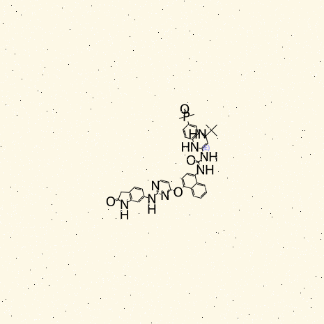 CC(C)(C)C(=N)/C=C(/NC(=O)Nc1ccc(Oc2ccnc(Nc3ccc4c(c3)NC(=O)C4)n2)c2ccccc12)Nc1ccc(P(C)(C)=O)cc1